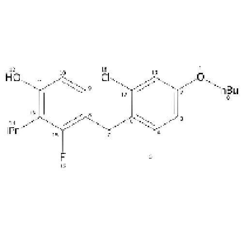 CCCCOc1cc(C)c(Cc2ccc(O)c(C(C)C)c2F)c(Cl)c1